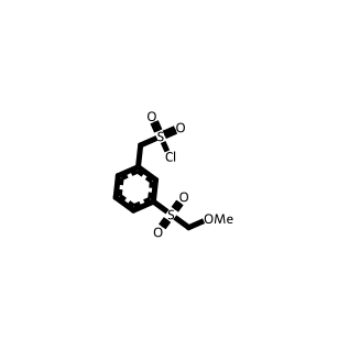 COCS(=O)(=O)c1cccc(CS(=O)(=O)Cl)c1